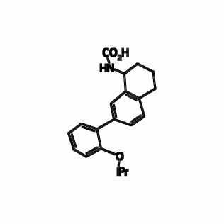 CC(C)Oc1ccccc1-c1ccc2c(c1)C(NC(=O)O)CCC2